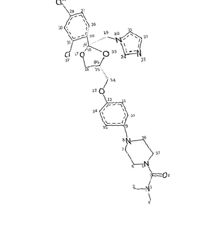 CN(C)C(=O)N1CCN(c2ccc(OC[C@@H]3CO[C@@](Cn4ccnc4)(c4ccc(Cl)cc4Cl)O3)cc2)CC1